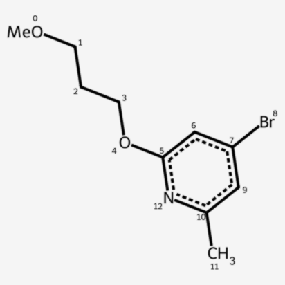 COCCCOc1cc(Br)cc(C)n1